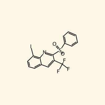 O=S(=O)(c1ccccc1)c1nc2c(I)cccc2cc1C(F)(F)F